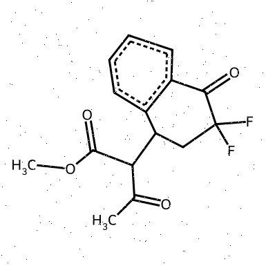 COC(=O)C(C(C)=O)C1CC(F)(F)C(=O)c2ccccc21